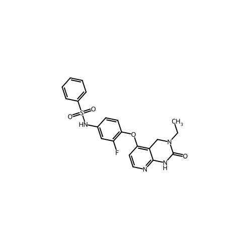 CCN1Cc2c(Oc3ccc(NS(=O)(=O)c4ccccc4)cc3F)ccnc2NC1=O